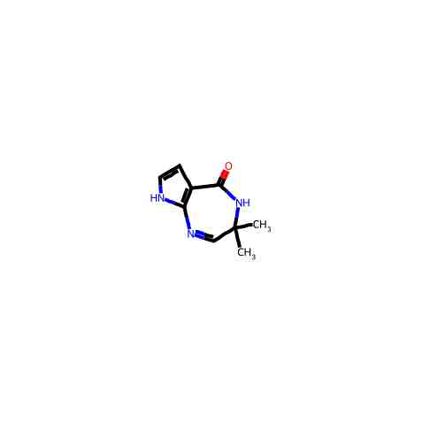 CC1(C)C=Nc2[nH]ccc2C(=O)N1